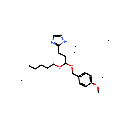 CCCCCOC(CCc1ncc[nH]1)OCc1ccc(OC)cc1